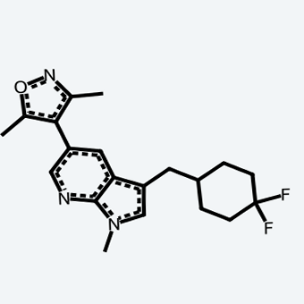 Cc1noc(C)c1-c1cnc2c(c1)c(CC1CCC(F)(F)CC1)cn2C